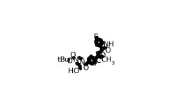 CC(C)(C)OC(=O)N1CCN(C(=O)c2ccc(C3=CC(=C4C(=O)Nc5cc(F)ccc54)OC3(C)C)cc2)C(CO)C1